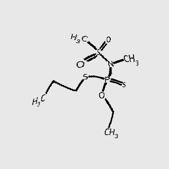 CCCSP(=S)(OCC)N(C)S(C)(=O)=O